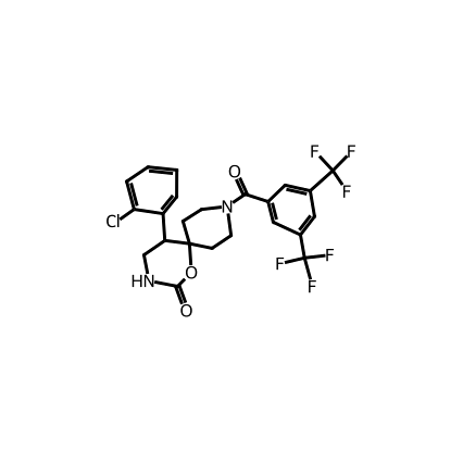 O=C1NCC(c2ccccc2Cl)C2(CCN(C(=O)c3cc(C(F)(F)F)cc(C(F)(F)F)c3)CC2)O1